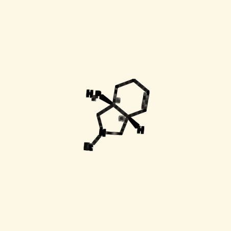 CCN1C[C@H]2C=CCC[C@@]2(P)C1